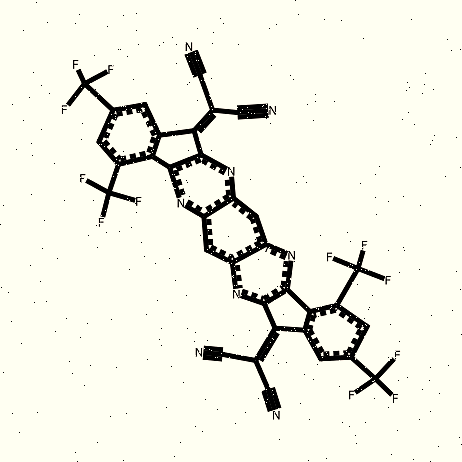 N#CC(C#N)=C1c2cc(C(F)(F)F)cc(C(F)(F)F)c2-c2nc3cc4nc5c(nc4cc3nc21)-c1c(cc(C(F)(F)F)cc1C(F)(F)F)C5=C(C#N)C#N